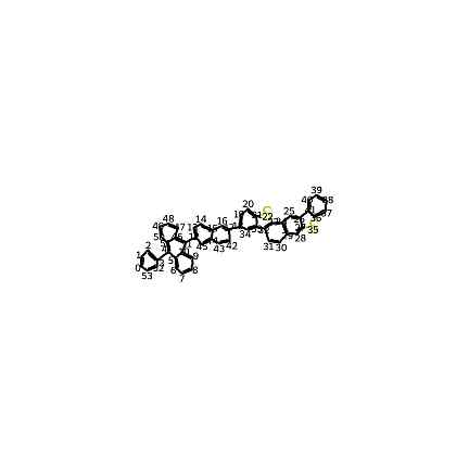 c1ccc(-c2c3ccccc3c(-c3ccc4cc(-c5ccc6sc7c8cc9c(cc8ccc7c6c5)sc5ccccc59)ccc4c3)c3ccccc23)cc1